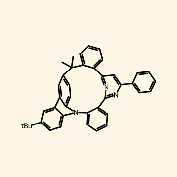 CC(C)(C)c1ccc2c(c1)c1cc3ccc1n2-c1ccccc1-c1nc(-c2ccccc2)cc(n1)-c1ccccc1C3(C)C